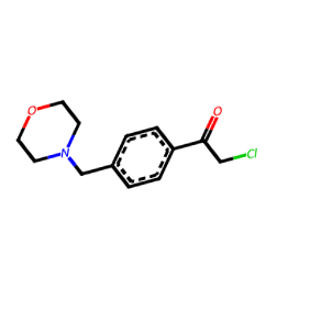 O=C(CCl)c1ccc(CN2CCOCC2)cc1